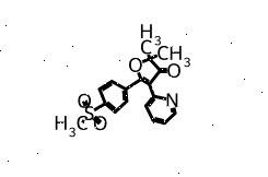 CC1(C)OC(c2ccc(S(C)(=O)=O)cc2)=C(c2ccccn2)C1=O